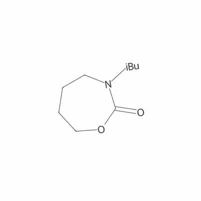 CCC(C)N1CCCCOC1=O